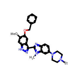 CCN1CCN(c2ccc3nc(-c4n[nH]c5cc(OC)c(OCc6ccccc6)cc45)n(C)c3c2)CC1